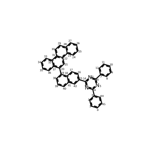 c1ccc(-c2nc(-c3ccccc3)nc(-c3ccc4c(-c5cc6c7ccccc7ccc6c6ccccc56)cccc4c3)n2)cc1